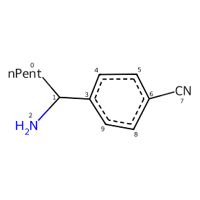 CCCCCC(N)c1ccc(C#N)cc1